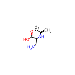 C=C(C)NC(CN)C(=O)O